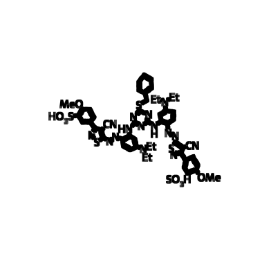 CCN(CC)c1ccc(/N=N/c2snc(-c3ccc(OC)c(S(=O)(=O)O)c3)c2C#N)c(Nc2nc(Nc3cc(N(CC)CC)ccc3/N=N/c3snc(-c4ccc(OC)c(S(=O)(=O)O)c4)c3C#N)nc(SCc3ccccc3)n2)c1